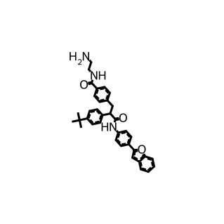 CC(C)(C)c1ccc(C(Cc2ccc(C(=O)NCCN)cc2)C(=O)Nc2ccc(-c3cc4ccccc4o3)cc2)cc1